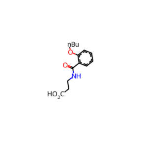 CCCCOc1ccccc1C(=O)NCCC(=O)O